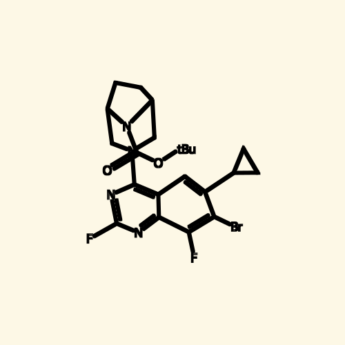 CC(C)(C)OC(=O)N1C2CCC1CN(c1nc(F)nc3c(F)c(Br)c(C4CC4)cc13)C2